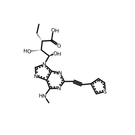 CC[C@H](C(=O)O)[C@@H](O)[C@@H](O)n1cnc2c(NC)nc(C#Cc3ccsc3)nc21